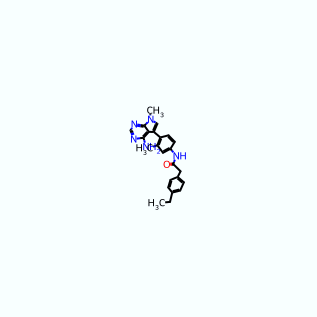 CCc1ccc(CC(=O)Nc2ccc(-c3cn(C)c4ncnc(N)c34)c(C)c2)cc1